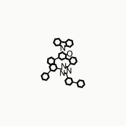 c1ccc(-c2cccc(-c3nc(-c4cccc(-c5ccccc5)c4)nc(-c4cccc5oc6c(-n7c8ccccc8c8ccccc87)cc(-c7ccccc7)cc6c45)n3)c2)cc1